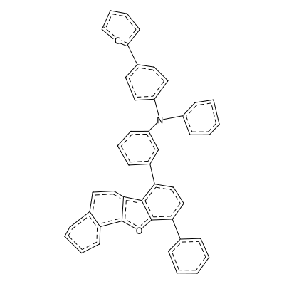 c1ccc(-c2ccc(N(c3ccccc3)c3cccc(-c4ccc(-c5ccccc5)c5oc6c7ccccc7ccc6c45)c3)cc2)cc1